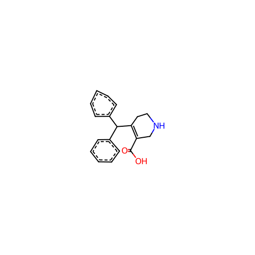 O=C(O)C1=C(C(c2ccccc2)c2ccccc2)CCNC1